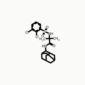 CC(C)(NS(=O)(=O)c1cccc(Cl)c1Cl)C(=O)NC1C2CC3CC(C2)CC1C3